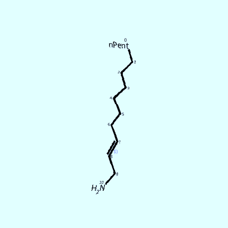 CCCCCCCCCCC/C=C/CN